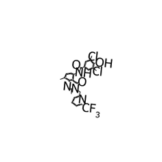 Cc1ccc(NC(=O)c2cc(Cl)c(O)c(Cl)c2)c2c(=O)n(Cc3cccc(C(F)(F)F)n3)c(C)nc12